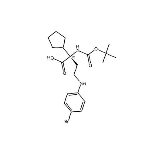 CC(C)(C)OC(=O)N[C@](CCNc1ccc(Br)cc1)(C(=O)O)C1CCCC1